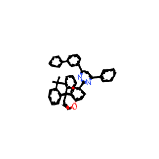 CC1(C)c2ccccc2C2(c3ccccc3Oc3ccc(-c4nc(-c5ccccc5)cc(-c5cccc(-c6ccccc6)c5)n4)cc32)c2ccccc21